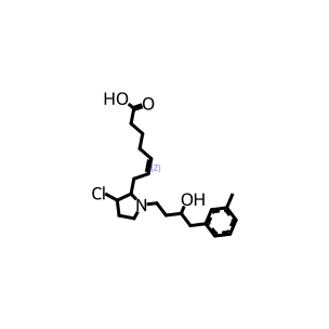 Cc1cccc(CC(O)CCN2CCC(Cl)C2C/C=C\CCCC(=O)O)c1